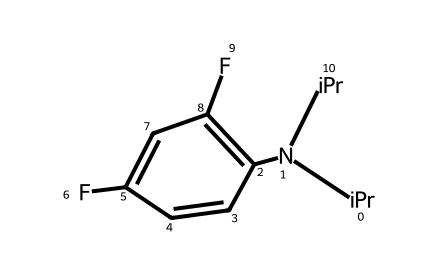 CC(C)N(c1ccc(F)cc1F)C(C)C